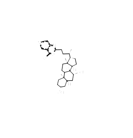 C[C@H](CCc1nc2ccncc2c(=O)o1)[C@H]1CC[C@H]2[C@H]3C(CC[C@]12C)[C@@]1(C)CC[C@@H](O)C[C@H]1C[C@@H]3O